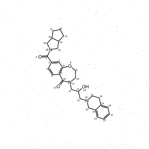 O=C(c1ccc2c(c1)OCCN(CC(O)CN1CCc3ccccc3C1)C2=O)N1CC2CCCC2C1